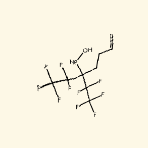 C=CCCC(PO)(C(F)(F)C(F)(F)F)C(F)(F)C(F)(F)F